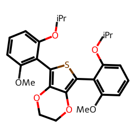 COc1cccc(OC(C)C)c1-c1sc(-c2c(OC)cccc2OC(C)C)c2c1OCCO2